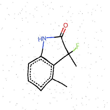 Cc1cccc2c1C(C)(F)C(=O)N2